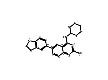 Nc1nc(NC2CCCCC2)c2cc(-c3ccc4c(c3)CCO4)ccc2n1